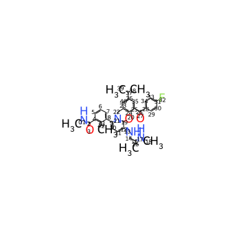 CNC(=O)c1cccc(-c2ccc(NC[C@H](C)NC)c(=O)n2Cc2cc(C(=O)c3ccc(F)cc3)cc(C(C)C)c2)c1C